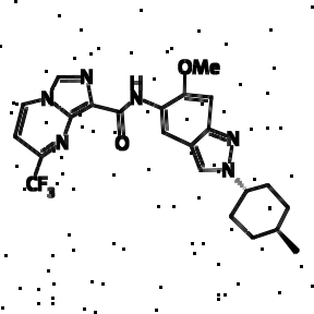 COc1cc2nn([C@H]3CC[C@H](C)CC3)cc2cc1NC(=O)c1ncn2ccc(C(F)(F)F)nc12